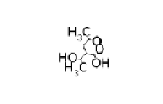 CC(=O)CC(C(=O)O)C(C)O